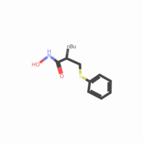 CCCCC(CSc1ccccc1)C(=O)NO